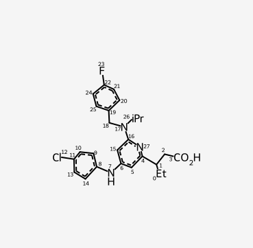 CCC(CC(=O)O)c1cc(Nc2ccc(Cl)cc2)cc(N(Cc2ccc(F)cc2)C(C)C)n1